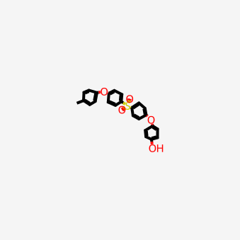 Cc1ccc(Oc2ccc(S(=O)(=O)c3ccc(Oc4ccc(O)cc4)cc3)cc2)cc1